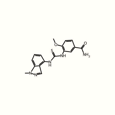 COc1ccc(C(N)=O)cc1NC(=S)Nc1cccc2c1cnn2C